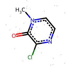 Cn1ccnc(Cl)c1=O